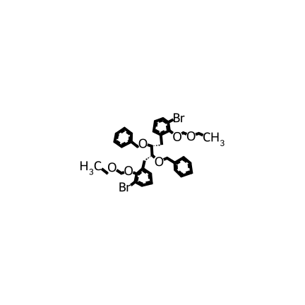 CCOCOc1c(Br)cccc1C[C@@H](OCc1ccccc1)[C@@H](Cc1cccc(Br)c1OCOCC)OCc1ccccc1